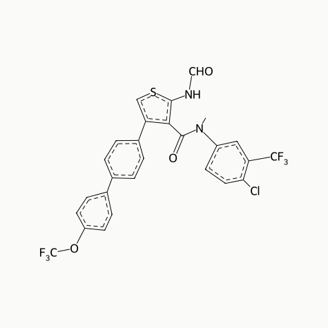 CN(C(=O)c1c(-c2ccc(-c3ccc(OC(F)(F)F)cc3)cc2)csc1NC=O)c1ccc(Cl)c(C(F)(F)F)c1